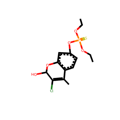 CCOP(=S)(OCC)Oc1ccc2c(c1)OC(O)C(Cl)=C2C